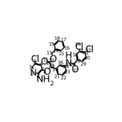 Nc1ncc(Cl)cc1O[C@@H](C(=O)OCc1ccccc1)c1cccc(NC(=O)c2ccc(Cl)c(Cl)c2)c1